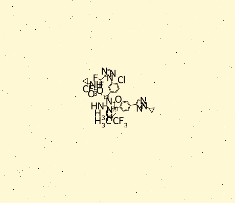 CC(C)(C[C@]1(c2ccc(-c3cnn(C4CC4)n3)cc2)NC(=N)N([C@H](COC(=O)NC2(C(F)(F)F)CC2)c2ccc(Cl)c(-n3ncnc3C(F)F)c2)C1=O)C(F)(F)F